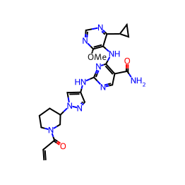 C=CC(=O)N1CCCC(n2cc(Nc3ncc(C(N)=O)c(Nc4c(OC)ncnc4C4CC4)n3)cn2)C1